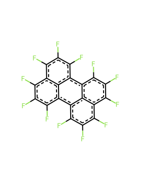 Fc1c(F)c2c(F)c(F)c(F)c3c4c(F)c(F)c(F)c5c(F)c(F)c(F)c(c(c1F)c23)c54